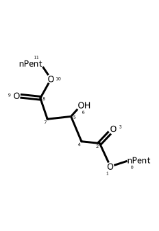 CCCCCOC(=O)CC(O)CC(=O)OCCCCC